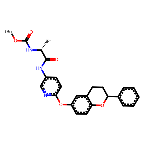 CC(C)[C@@H](NC(=O)OC(C)(C)C)C(=O)Nc1ccc(Oc2ccc3c(c2)CCC(c2ccccc2)O3)nc1